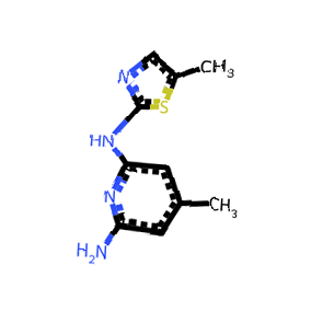 Cc1cc(N)nc(Nc2ncc(C)s2)c1